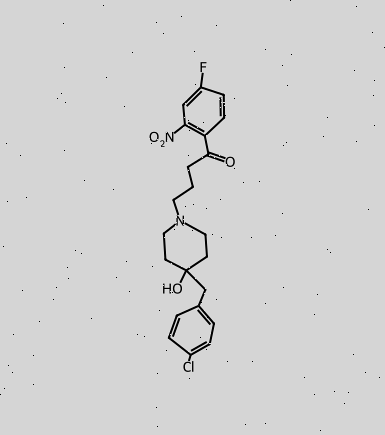 O=C(CCCN1CCC(O)(Cc2ccc(Cl)cc2)CC1)c1ccc(F)cc1[N+](=O)[O-]